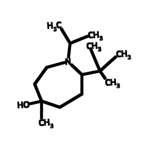 CC(C)N1CCC(C)(O)CCC1C(C)(C)C